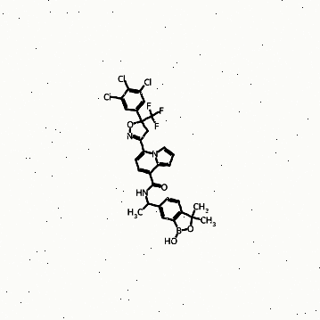 CC(NC(=O)c1ccc(C2=NOC(c3cc(Cl)c(Cl)c(Cl)c3)(C(F)(F)F)C2)n2cccc12)c1ccc2c(c1)B(O)OC2(C)C